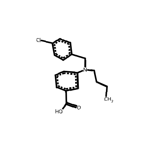 CCCCN(Cc1ccc(Cl)cc1)c1cccc(C(=O)O)c1